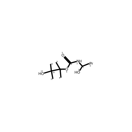 CC(C)C(O)NC(=O)OC(C)(C)C(C)(C)O